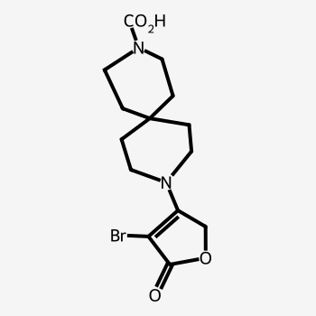 O=C1OCC(N2CCC3(CCN(C(=O)O)CC3)CC2)=C1Br